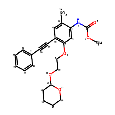 CC(C)(C)OC(=O)Nc1cc(OCCOC2CCCCO2)c(C#Cc2ccccc2)cc1[N+](=O)[O-]